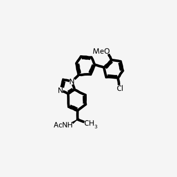 COc1ccc(Cl)cc1-c1cccc(-n2cnc3cc([C@@H](C)NC(C)=O)ccc32)c1